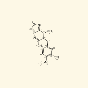 Cc1nc2nonc2c(N)c1Cc1ccc(OC(F)(F)F)c(C#N)n1